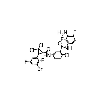 Nc1c(F)ccc(NC(=O)c2cc(NC(=O)C3C(c4cc(F)cc(Br)c4F)C3(Cl)Cl)ccc2Cl)c1F